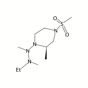 CCN(C)N(C)N1CCN(S(C)(=O)=O)C[C@H]1C